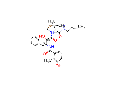 CC=CCNC(=O)[C@H]1N(C(=O)[C@@H](O)[C@H](Cc2ccccc2)NC(=O)c2cccc(O)c2C)CSC1(C)C